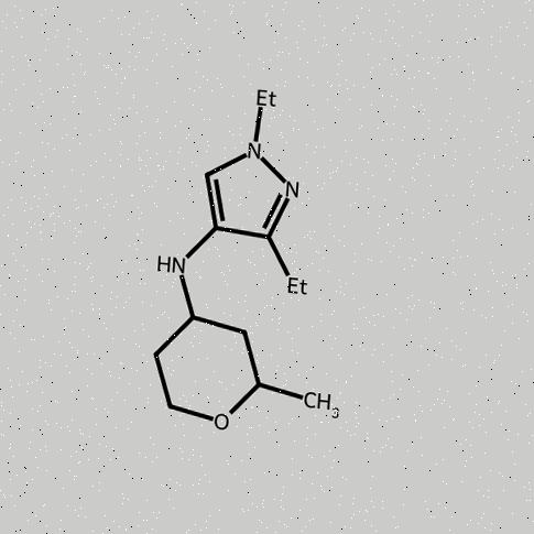 CCc1nn(CC)cc1NC1CCOC(C)C1